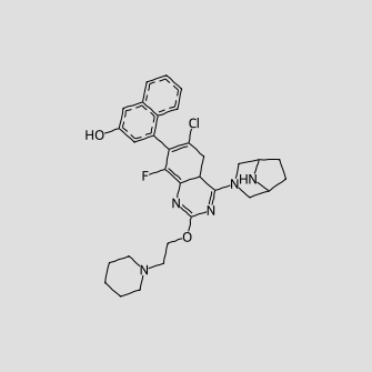 Oc1cc(C2=C(Cl)CC3C(N4CC5CCC(C4)N5)=NC(OCCN4CCCCC4)=NC3=C2F)c2ccccc2c1